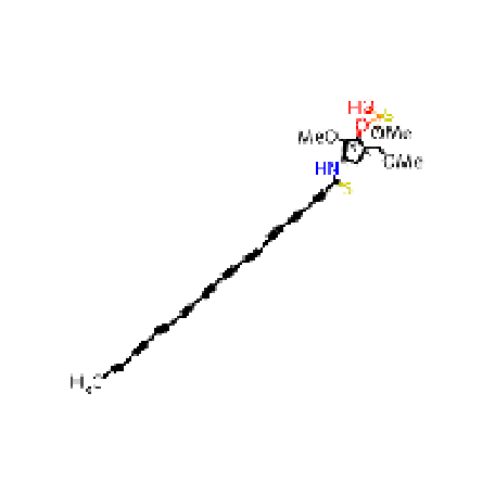 CC#CC#CC#CC#CC#CC#CC#CC#CC#CC#CC(=S)N[C@H]1C[C@H](COC)C(OP(O)(=S)OC)[C@@H]1OC